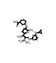 Cc1nc(/C(N)=C(\COc2nccc(OC3CC3)n2)N(C)N)ccc1OC1CCCC(C(=O)O)C1